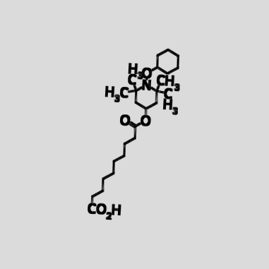 CC1(C)CC(OC(=O)CCCCCCCCC(=O)O)CC(C)(C)N1OC1CCCCC1